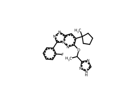 CC(Oc1nn2c(-c3ccccc3F)nnc2cc1C1(C)CCCC1)c1nc[nH]n1